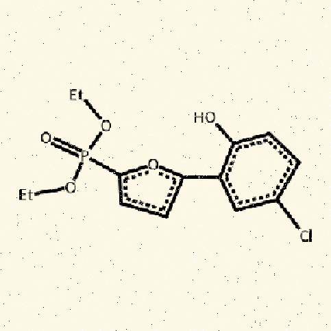 CCOP(=O)(OCC)c1ccc(-c2cc(Cl)ccc2O)o1